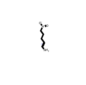 N/C=C/CCC[N+](=O)[O-]